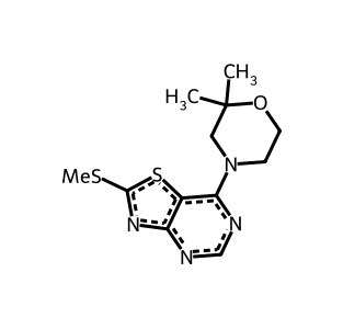 CSc1nc2ncnc(N3CCOC(C)(C)C3)c2s1